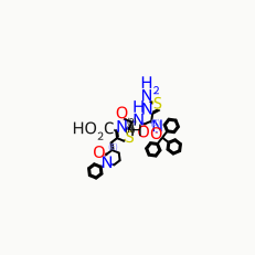 Nc1nc(/C(=N/OC(c2ccccc2)(c2ccccc2)c2ccccc2)C(=O)N[C@@H]2C(=O)N3C(C(=O)O)=C(/C=C4\CCCN(c5ccccc5)C4=O)CS[C@H]23)cs1